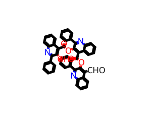 O=Cc1c(OC(=O)c2c(OC(=O)c3c(O)c(-c4ccccc4)nc4ccccc34)c(-c3ccccc3)nc3ccccc23)c(-c2ccccc2)nc2ccccc12